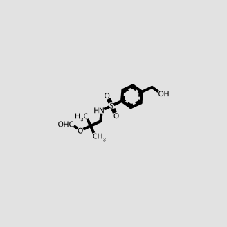 CC(C)(CNS(=O)(=O)c1ccc(CO)cc1)OC=O